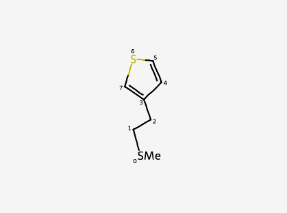 CSCCc1ccsc1